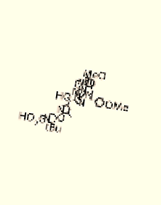 CCCCOc1nc(N(Cc2ccc(OC)cc2)Cc2ccc(OC)cc2)c2ncc(C(O)c3cnc(OC4CCN(C(=O)O)C(C(C)(C)C)C4)c(C)c3)n2n1